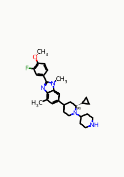 COc1ccc(-c2nc3c(C)cc(C4CCN(C5CCNCC5)[C@@H](C5CC5)C4)cc3n2C)cc1F